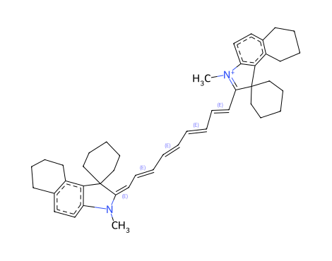 CN1/C(=C/C=C/C=C/C=C/C=C/C2=[N+](C)c3ccc4c(c3C23CCCCC3)CCCC4)C2(CCCCC2)c2c1ccc1c2CCCC1